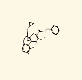 COC1=C(C(=O)NCc2ccccc2)C[C@@]2(O)[C@H]3Cc4ccc(O)c5c4[C@@]2(CCN3CC2CC2)[C@H]1O5